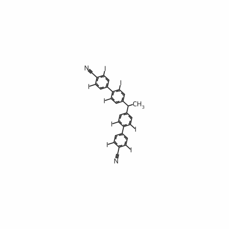 CC(c1cc(I)c(-c2cc(I)c(C#N)c(I)c2)c(I)c1)c1cc(I)c(-c2cc(I)c(C#N)c(I)c2)c(I)c1